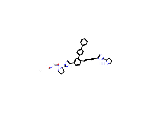 COC(=O)N[C@H](C(=O)N1CCC[C@H]1c1ncc(-c2ccc(C#CC#Cc3cnc(C4CCCN4)[nH]3)c(-c3ccc(-c4ccccc4)cc3)c2)[nH]1)C(C)C